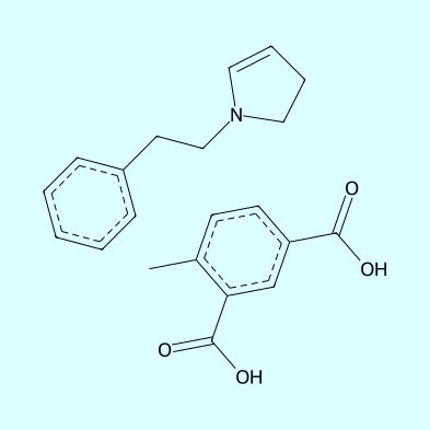 C1=CN(CCc2ccccc2)CC1.Cc1ccc(C(=O)O)cc1C(=O)O